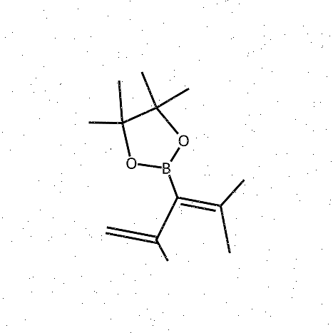 C=C(C)C(B1OC(C)(C)C(C)(C)O1)=C(C)C